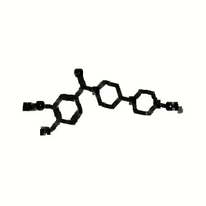 COc1cc(C(=O)N2CCC(N3CCN(C)CC3)CC2)ccc1C(C)C